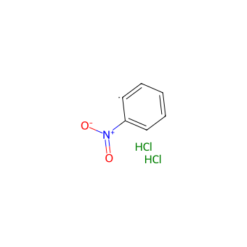 Cl.Cl.O=[N+]([O-])c1[c]cccc1